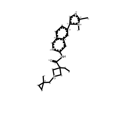 CCC1(C(=O)Nc2cc3cc(-c4cnc(C)n4C)ccc3cn2)CN(CC2(C)CC2)C1